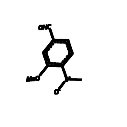 COc1cc(C=O)ccc1[S+](C)[O-]